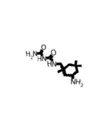 CC1(C)CC(N)CC(C)(CNC(=O)NC(N)=O)C1